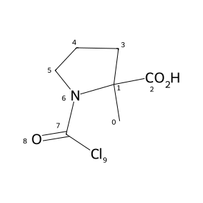 CC1(C(=O)O)CCCN1C(=O)Cl